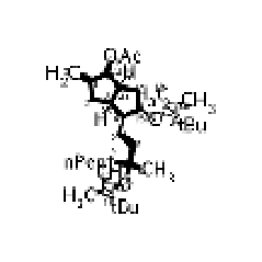 C=C1C[C@@H]2[C@H](/C=C/C(C)(CCCCC)O[Si](C)(C)C(C)(C)C)[C@H](O[Si](C)(C)C(C)(C)C)C[C@@H]2C1OC(C)=O